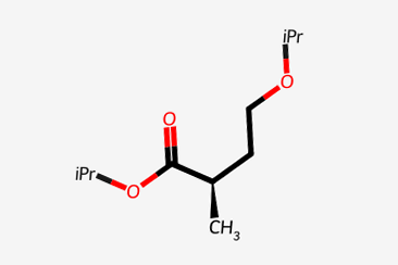 CC(C)OCC[C@@H](C)C(=O)OC(C)C